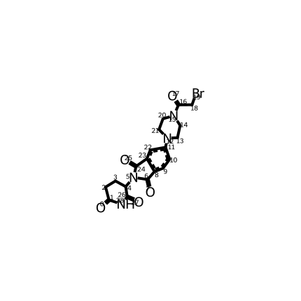 O=C1CCC(N2C(=O)c3ccc(N4CCN(C(=O)CBr)CC4)cc3C2=O)C(=O)N1